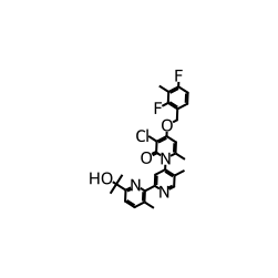 Cc1cnc(-c2nc(C(C)(C)O)ccc2C)cc1-n1c(C)cc(OCc2ccc(F)c(C)c2F)c(Cl)c1=O